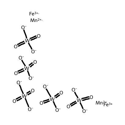 [Fe+3].[Fe+3].[Mn+2].[Mn+2].[O]=[W](=[O])([O-])[O-].[O]=[W](=[O])([O-])[O-].[O]=[W](=[O])([O-])[O-].[O]=[W](=[O])([O-])[O-].[O]=[W](=[O])([O-])[O-]